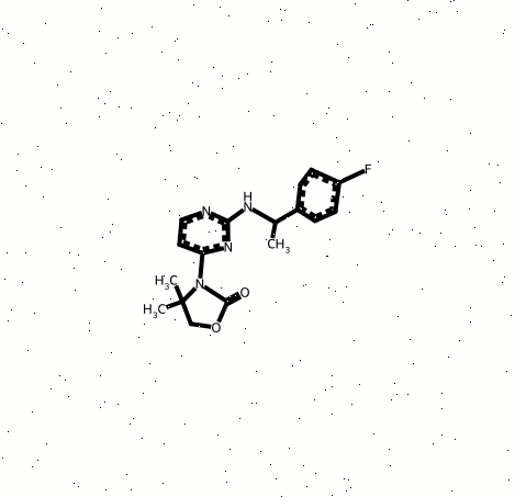 CC(Nc1nccc(N2C(=O)OCC2(C)C)n1)c1ccc(F)cc1